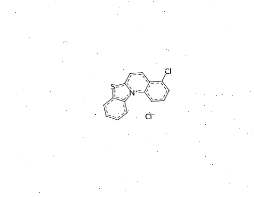 Clc1cccc2c1ccc1sc3ccccc3[n+]12.[Cl-]